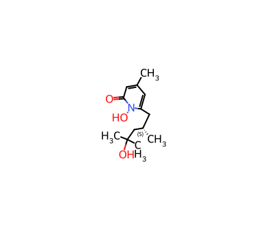 Cc1cc(C[C@H](C)CC(C)(C)O)n(O)c(=O)c1